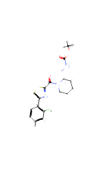 Cc1ccc(-c2csc(C(=O)N3CCCC[C@H]3CNC(=O)OC(C)(C)C)n2)c(F)c1